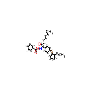 CCCCCCC(=O)C(=NOC(=O)c1ccccc1)c1ccc(Sc2ccccc2CC)cc1